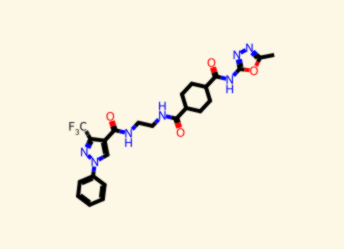 Cc1nnc(NC(=O)C2CCC(C(=O)NCCNC(=O)c3cn(-c4ccccc4)nc3C(F)(F)F)CC2)o1